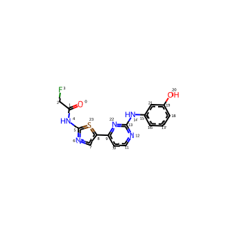 O=C(CF)Nc1ncc(-c2ccnc(Nc3cccc(O)c3)n2)s1